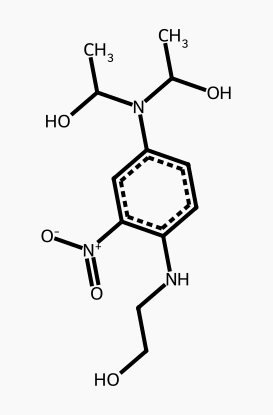 CC(O)N(c1ccc(NCCO)c([N+](=O)[O-])c1)C(C)O